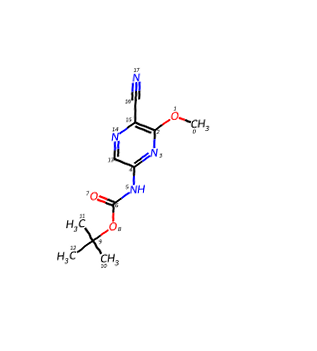 COc1nc(NC(=O)OC(C)(C)C)cnc1C#N